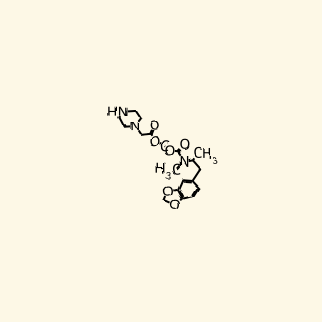 CC(Cc1ccc2c(c1)OCO2)N(C)C(=O)OCOC(=O)CN1CCNCC1